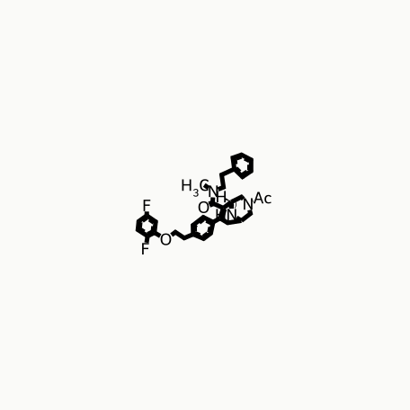 CC(=O)N1CC2CC(c3ccc(CCOc4cc(F)ccc4F)cc3)=C(C(=O)N(C)CCc3ccccc3)[C@@H](C1)N2